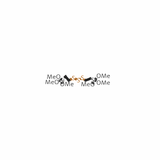 CO[Si](CCSSSCC[Si](OC)(OC)OC)(OC)OC